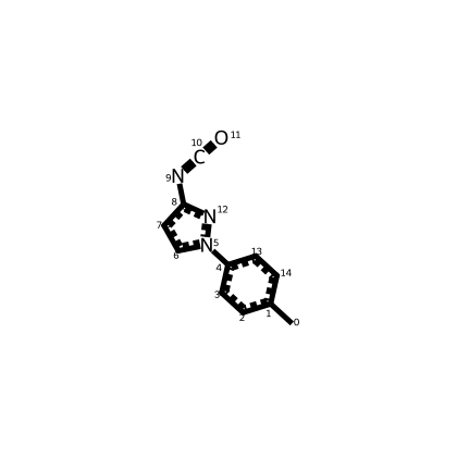 Cc1ccc(-n2ccc(N=C=O)n2)cc1